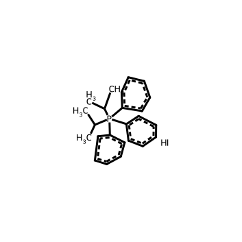 CC(C)P(c1ccccc1)(c1ccccc1)(c1ccccc1)C(C)C.I